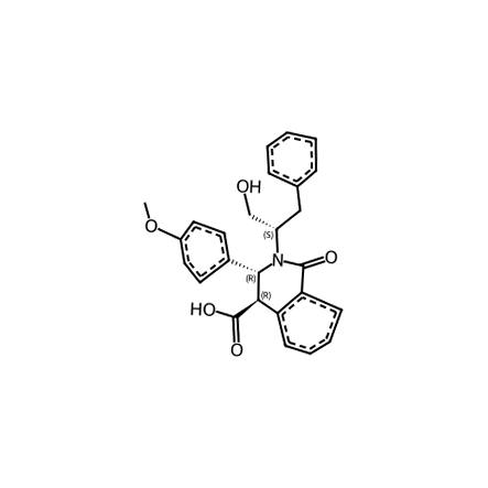 COc1ccc([C@H]2[C@H](C(=O)O)c3ccccc3C(=O)N2[C@H](CO)Cc2ccccc2)cc1